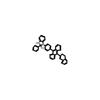 CC1(c2ccccc2)Nc2ccccc2N1c1ccc(-c2c3ccccc3c(C3=Cc4ccccc4CC3)c3ccccc23)cc1